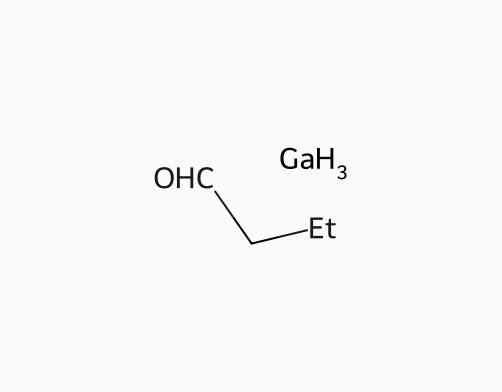 CCCC=O.[GaH3]